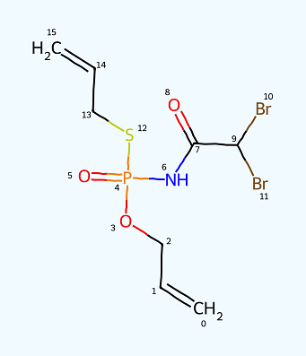 C=CCOP(=O)(NC(=O)C(Br)Br)SCC=C